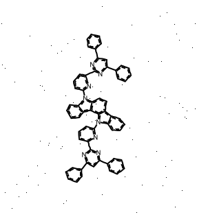 c1ccc(-c2cc(-c3ccccc3)nc(-c3cccc(-n4c5ccccc5c5c4ccc4c6ccccc6n(-c6cccc(-c7nc(-c8ccccc8)cc(-c8ccccc8)n7)n6)c45)n3)n2)cc1